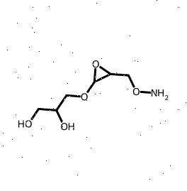 NOCC1OC1OCC(O)CO